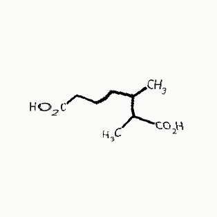 CC(CCCC(=O)O)C(C)C(=O)O